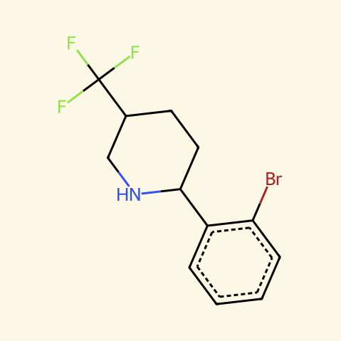 FC(F)(F)C1CCC(c2ccccc2Br)NC1